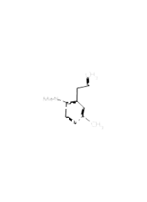 C=CCc1cc(C)ccc1NC